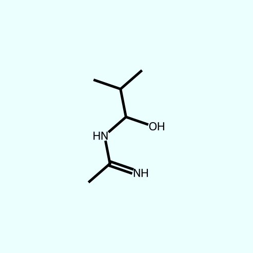 CC(=N)NC(O)C(C)C